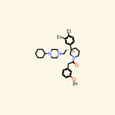 CCc1ccc([C@@]2(CCN3CCN(C4CCCCC4)CC3)CCCN(C(=O)Cc3cccc(OC(C)C)c3)C2)cc1CC